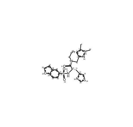 Cc1cc(CN(CC(C)C)C(=O)[C@H](Cc2cscn2)NS(=O)(=O)c2ccc3occc3c2)nn1C